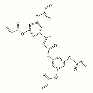 C=CC(=O)Oc1cc(OC(=O)C=C)cc(OC(=O)/C=C(\C)c2cc(OC(=O)C=C)cc(OC(=O)C=C)c2)c1